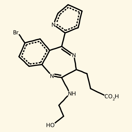 O=C(O)CCC1N=C(c2ccccn2)c2cc(Br)ccc2N=C1NCCO